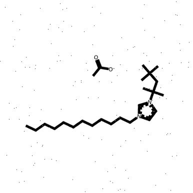 CC(=O)[O-].CCCCCCCCCCCC[n+]1ccn(C(C)(C)CC(C)(C)C)c1